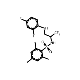 Cc1cc(C)c(S(=O)(=O)NC(CNc2ccc(F)cc2F)C(F)(F)F)c(C)c1